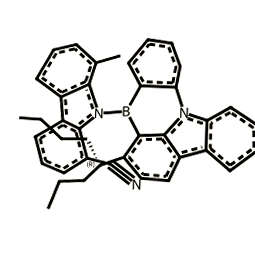 CCCC[C@@H](CCC)c1ccc2c3ccccc3n3c2c1B(n1c2c(C)cccc2c2cccc(C#N)c21)c1ccccc1-3